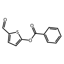 O=Cc1ccc(OC(=O)c2ccccc2)s1